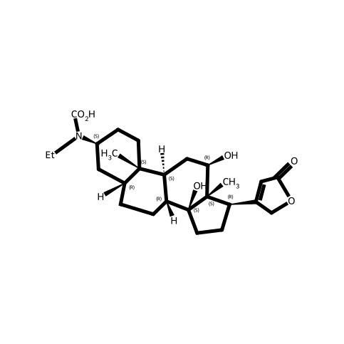 CCN(C(=O)O)[C@H]1CC[C@@]2(C)[C@H](CC[C@@H]3[C@@H]2C[C@@H](O)[C@]2(C)[C@@H](C4=CC(=O)OC4)CC[C@]32O)C1